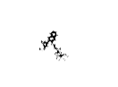 CC(C)(C)OC(=O)NCCOc1cc2ccccc2cc1-c1cc(N)n[nH]1